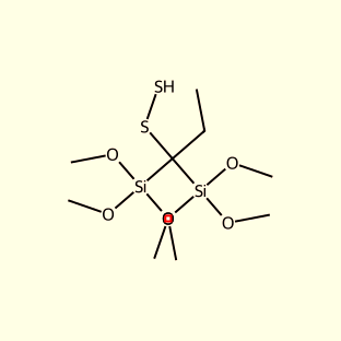 CCC(SS)([Si](OC)(OC)OC)[Si](OC)(OC)OC